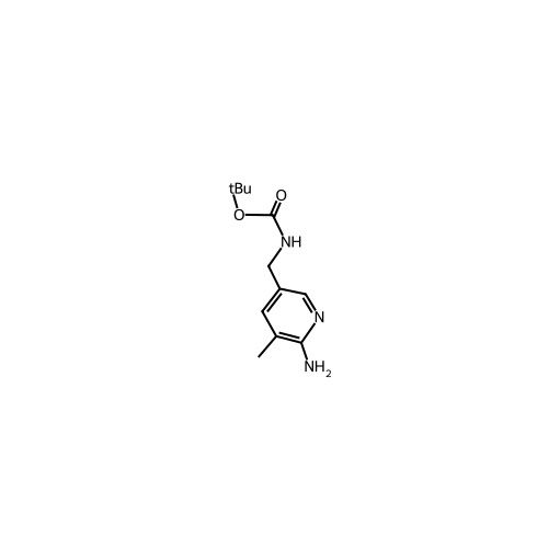 Cc1cc(CNC(=O)OC(C)(C)C)cnc1N